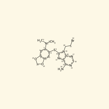 CN(C)c1cc2c(cc1Sc1nc3c(N)ncnc3n1CCBr)OCO2